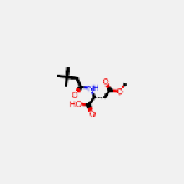 COC(=O)C[C@@H](NC(=O)CC(C)(C)C)C(=O)O